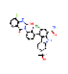 Cc1c(-c2c(Cl)cc(C(N)=O)c3[nH]c4c(c23)CC[C@H](C(C)(C)O)C4)cccc1N1C(=O)c2cccc(F)c2NC1O